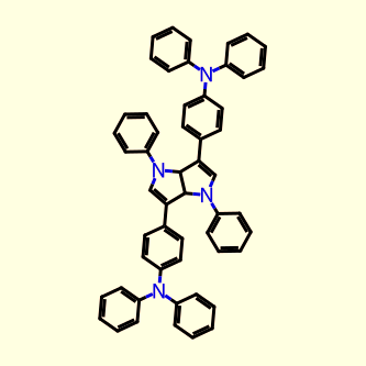 C1=C(c2ccc(N(c3ccccc3)c3ccccc3)cc2)C2C(C(c3ccc(N(c4ccccc4)c4ccccc4)cc3)=CN2c2ccccc2)N1c1ccccc1